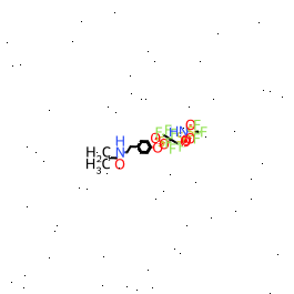 C=C(C)C(=O)NCCc1ccc(OS(=O)(=O)C(F)(F)C(F)(F)C(F)(F)S(=O)(=O)NS(=O)(=O)C(F)(F)F)cc1